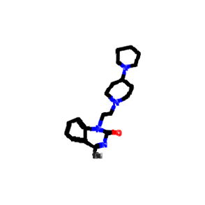 CC(C)(C)c1nc(=O)n(CCN2CCC(N3CCCCC3)CC2)c2ccccc12